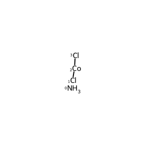 N.[Cl][Co][Cl]